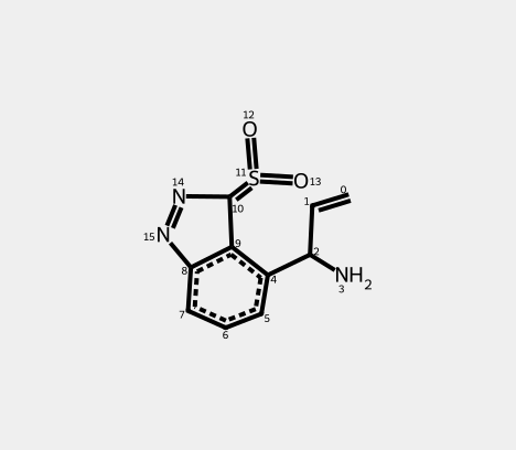 C=CC(N)c1cccc2c1C(=S(=O)=O)N=N2